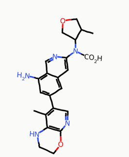 Cc1c(-c2cc(N)c3cnc(N(C(=O)O)C4COCC4C)cc3c2)cnc2c1NCCO2